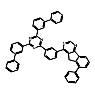 c1ccc(-c2cccc(-c3nc(-c4cccc(-c5ccccc5)c4)nc(-c4cccc(-c5ncnc6c5Cc5c(-c7ccccc7)cccc5-6)c4)n3)c2)cc1